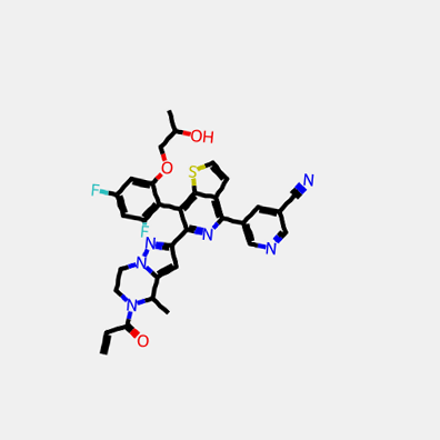 C=CC(=O)N1CCn2nc(-c3nc(-c4cncc(C#N)c4)c4ccsc4c3-c3c(F)cc(F)cc3OCC(C)O)cc2C1C